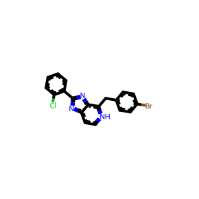 Clc1ccccc1-c1nc2cc[nH]c(Cc3ccc(Br)cc3)c-2n1